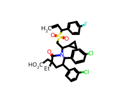 C=CC(c1ccc(F)cc1)S(=O)(=O)CC(C1CC1)N1C(=O)C(CC)(CC(=O)O)CC(c2cccc(Cl)c2)C1c1ccc(Cl)cc1